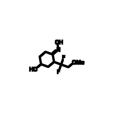 COCC(F)(F)C1CC(O)CCC1=NO